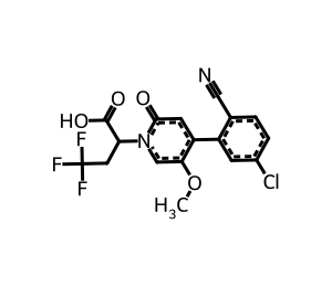 COc1cn(C(CC(F)(F)F)C(=O)O)c(=O)cc1-c1cc(Cl)ccc1C#N